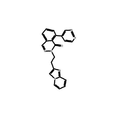 O=c1c2c(-c3ccnnc3)cccc2cnn1CCc1cn2ccccc2n1